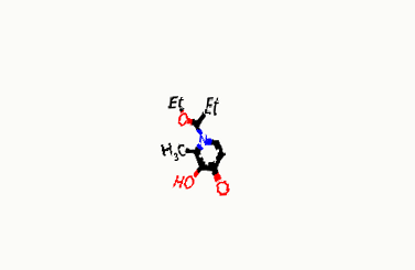 CCOC(CC)n1ccc(=O)c(O)c1C